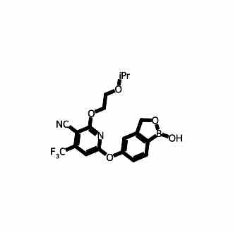 CC(C)OCCOc1nc(Oc2ccc3c(c2)COB3O)cc(C(F)(F)F)c1C#N